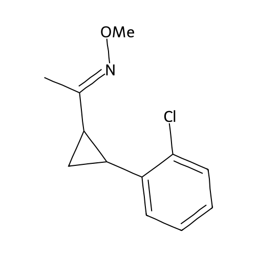 CON=C(C)C1CC1c1ccccc1Cl